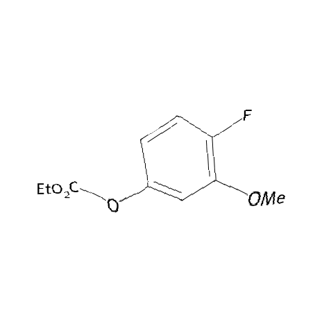 CCOC(=O)Oc1ccc(F)c(OC)c1